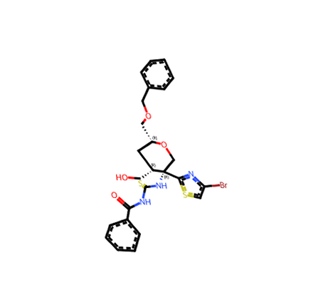 O=C(NC(=S)N[C@@]1(c2nc(Br)cs2)CO[C@@H](COCc2ccccc2)C[C@H]1CO)c1ccccc1